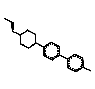 Cc1ccc(-c2ccc(C3CCC(C=CI)CC3)cc2)cc1